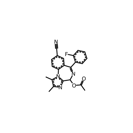 CC(=O)OC1N=C(c2ccccc2F)c2cc(C#N)ccc2-n2c1nc(C)c2C